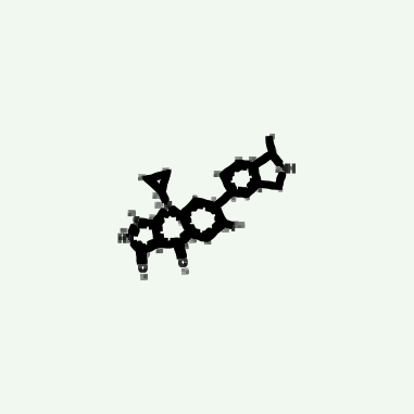 CC1NCc2cc(-c3cc4c(cc3F)c(=O)c3c(=O)[nH]sc3n4C3CC3)ccc21